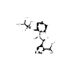 CN(C(=O)c1c[nH]nc1C(F)F)c1ccccc1OC(F)(F)C(F)F